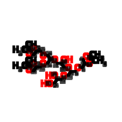 CC1(C)OCC(COCC(COCC(O)CO)OCC(O)COC(COCC2COC(C)(C)O2)COCC2COC(C)(C)O2)O1